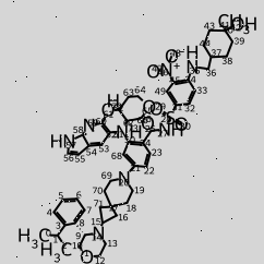 CC(C)c1ccccc1[C@H]1COCCN1C1CC2(CCN(c3ccc(C(=O)NS(=O)(=O)c4ccc(NCC5CCC(C)(O)CC5)c([N+](=O)[O-])c4)c(N4c5cc6cc[nH]c6nc5O[C@@H]5CCOC[C@H]54)c3)CC2)C1